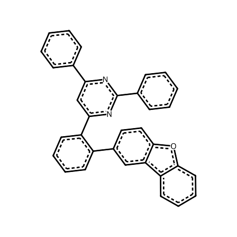 c1ccc(-c2cc(-c3ccccc3-c3ccc4oc5ccccc5c4c3)nc(-c3ccccc3)n2)cc1